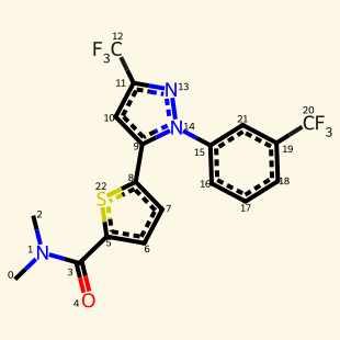 CN(C)C(=O)c1ccc(-c2cc(C(F)(F)F)nn2-c2cccc(C(F)(F)F)c2)s1